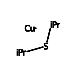 CC(C)SC(C)C.[Cu]